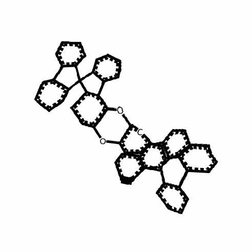 c1cccc(N(c2ccccc2-c2ccc3c(c2)Oc2c(ccc4c2-c2ccccc2C42c4ccccc4-c4ccccc42)O3)c2ccccc2-c2ccccc2-c2ccccc2)c#1